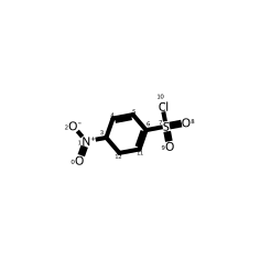 O=[N+]([O-])C1C=CC(S(=O)(=O)Cl)=CC1